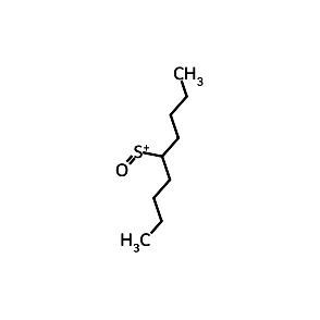 CCCCC(CCCC)[S+]=O